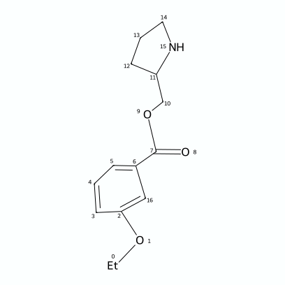 CCOc1cccc(C(=O)OCC2CCCN2)c1